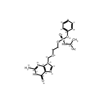 CC(=O)[C@H](C)NP(=O)(OCCOCn1cnc2c(=O)[nH]c(N)nc21)Oc1ccccc1